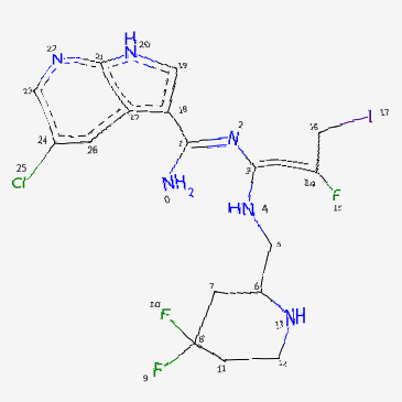 N/C(=N\C(NCC1CC(F)(F)CCN1)=C(\F)CI)c1c[nH]c2ncc(Cl)cc12